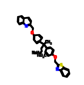 CC(CCC(=O)O)(c1ccc(OCc2ccc3ccccc3n2)cc1)c1ccc(OCc2nc3ccccc3s2)cc1.[NaH]